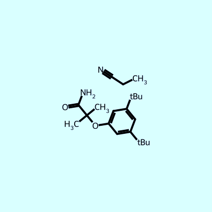 CC(C)(Oc1cc(C(C)(C)C)cc(C(C)(C)C)c1)C(N)=O.CCC#N